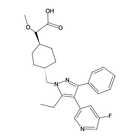 CCc1c(-c2cncc(F)c2)c(-c2ccccc2)nn1C[C@H]1CC[C@H](C(OC)C(=O)O)CC1